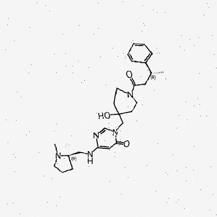 C[C@H](CC(=O)N1CCC(O)(Cn2cnc(NC[C@H]3CCCN3C)cc2=O)CC1)c1ccccc1